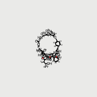 CCCCOC1(CO)/C=C/C(=O)NCC(=O)OC[C@@H]2NC(=O)[C@@H]([C@@H](C)O)NC(=O)[C@H](Cc3ccccc3)N(C)C(=O)C(NC(=O)[C@@H]([C@@H](C)CC)NC(=O)[C@@H](NC(=O)[C@H](C)[C@H](O)C(C)C)[C@@H](C)OC2=O)c2ccc(cc2)O[C@@H]1C